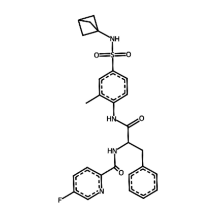 Cc1cc(S(=O)(=O)NC23CC(C2)C3)ccc1NC(=O)C(Cc1ccccc1)NC(=O)c1ccc(F)cn1